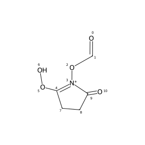 O=CO[N+]1=C(OO)CCC1=O